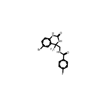 O=C1Nc2ccc(Br)cc2C(CNC(=O)c2ccc(F)cc2)(C(F)(F)F)N1